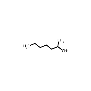 [CH]C(C)CCCCC